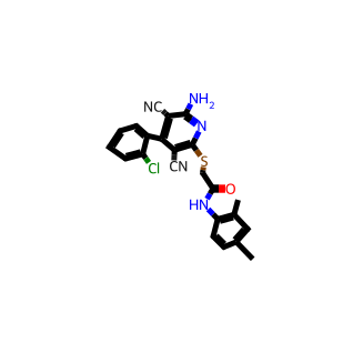 Cc1ccc(NC(=O)CSc2nc(N)c(C#N)c(-c3ccccc3Cl)c2C#N)c(C)c1